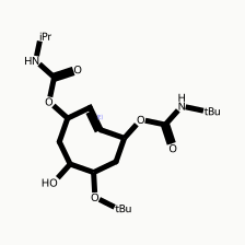 CC(C)NC(=O)OC1/C=C/C(OC(=O)NC(C)(C)C)CC(OC(C)(C)C)C(O)C1